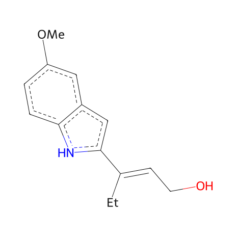 CCC(=CCO)c1cc2cc(OC)ccc2[nH]1